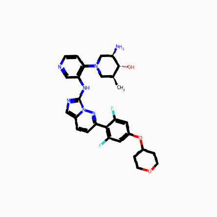 C[C@H]1CN(c2ccncc2Nc2ncc3ccc(-c4c(F)cc(OC5CCOCC5)cc4F)nn23)C[C@@H](N)[C@@H]1O